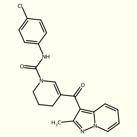 Cc1nn2ccccc2c1C(=O)C1=CN(C(=O)Nc2ccc(Cl)cc2)CCC1